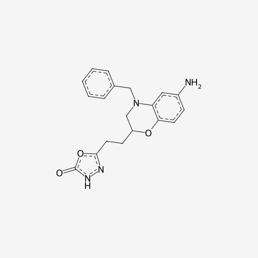 Nc1ccc2c(c1)N(Cc1ccccc1)CC(CCc1n[nH]c(=O)o1)O2